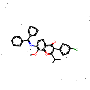 COc1c(N=C(c2ccccc2)c2ccccc2)ccc2c(=O)c(-c3ccc(Cl)cc3)c(C(C)C)oc12